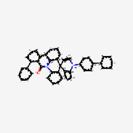 O=c1c2c(-c3ccccc3)cccc2c2cccc3c2n1-c1ccccc1C31c2ccccc2N(c2ccc(-c3ccccc3)cc2)c2ccccc21